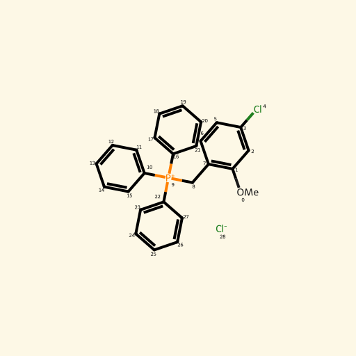 COc1cc(Cl)ccc1C[P+](c1ccccc1)(c1ccccc1)c1ccccc1.[Cl-]